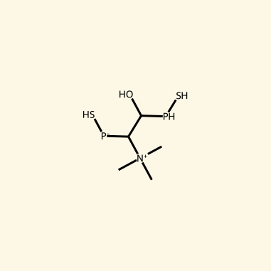 C[N+](C)(C)C([P-]S)C(O)PS